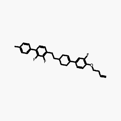 C=CCCOc1ccc(C2=CCC(CCc3ccc(-c4ccc(C)cc4)c(F)c3F)CC2)cc1F